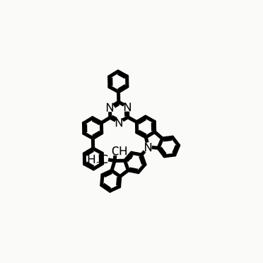 CC1(C)c2ccccc2-c2ccc(-n3c4ccccc4c4ccc(-c5nc(-c6ccccc6)nc(-c6cccc(-c7ccccc7)c6)n5)cc43)cc21